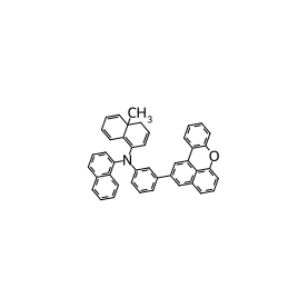 CC12C=CC=CC1=C(N(c1cccc(-c3cc4c5c(cccc5c3)Oc3ccccc3-4)c1)c1cccc3ccccc13)C=CC2